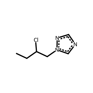 CCC(Cl)Cn1cncn1